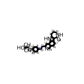 CC(C)(O)COc1ccc(/C=C/c2cc3c(ccc4c5c([nH]c43)CCCNC5=O)cn2)cc1